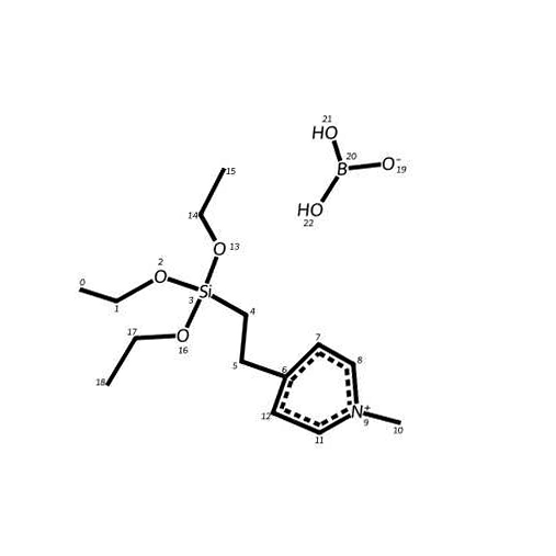 CCO[Si](CCc1cc[n+](C)cc1)(OCC)OCC.[O-]B(O)O